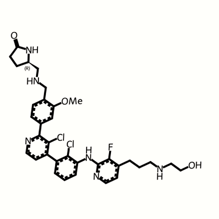 COc1cc(-c2nccc(-c3cccc(Nc4nccc(CCCNCCO)c4F)c3Cl)c2Cl)ccc1CNC[C@H]1CCC(=O)N1